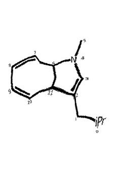 CC(C)CC1=CN(C)C2C=CC=CC12